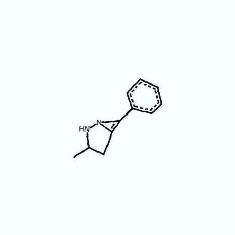 CC1CC2=C(c3ccccc3)N2N1